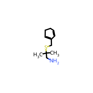 CC(C)(CN)SCC1=CCCC=C1